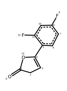 O=C1CC=C(c2ccc(F)cc2F)O1